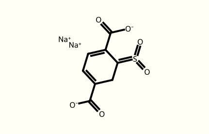 O=C([O-])C1=CC=C(C(=O)[O-])C(=S(=O)=O)C1.[Na+].[Na+]